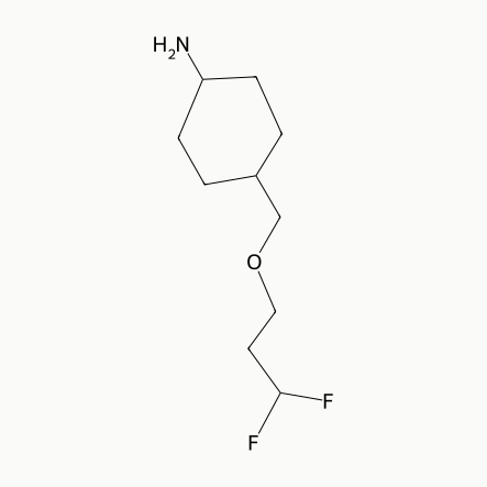 NC1CCC(COCCC(F)F)CC1